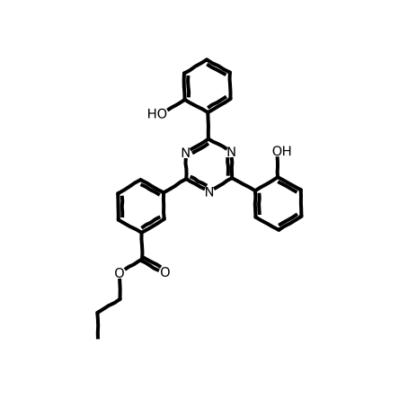 CCCOC(=O)c1cccc(-c2nc(-c3ccccc3O)nc(-c3ccccc3O)n2)c1